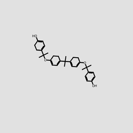 CC(C)(OC1=CC=C(C(C)(C)C2=CC=C(OC(C)(C)c3ccc(O)cc3)CC2)CC1)C1=CC=C(O)CC1